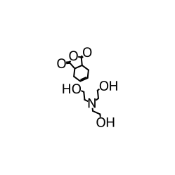 O=C1OC(=O)C2CC=CCC12.OCCN(CCO)CCO